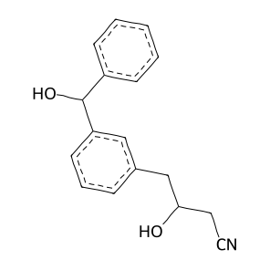 N#CCC(O)Cc1cccc(C(O)c2ccccc2)c1